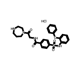 Cl.O=C(NCC(=O)N1CCCNCC1)c1ccc(S(=O)(=O)Nc2ccccc2Oc2ccccc2)cc1